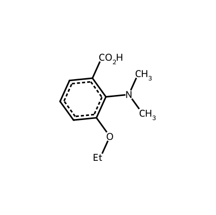 CCOc1cccc(C(=O)O)c1N(C)C